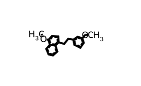 COc1cccc(CCc2ccc(OC)c3ccccc23)c1